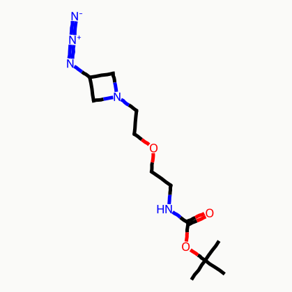 CC(C)(C)OC(=O)NCCOCCN1CC(N=[N+]=[N-])C1